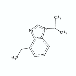 CC(C)n1cnc2c(CN)cccc21